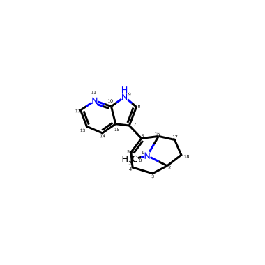 CN1C2CCC=C(c3c[nH]c4ncccc34)C1CC2